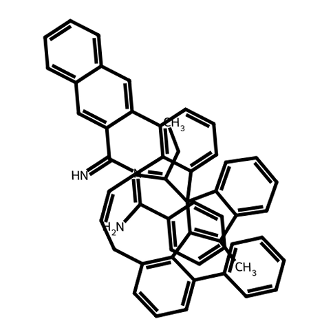 CCC1=C2/C=C\Cc3cccc(-c4ccccc4)c3C3=C(C)c4ccccc4C13c1cccc(-c3cc4ccccc4cc3C(=N)/N=C(\N)c3ccccc3)c12